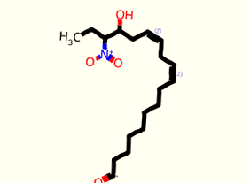 CCC(C(O)C/C=C\C/C=C\CCCCCCC[C]=O)[N+](=O)[O-]